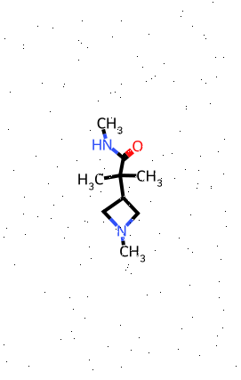 CNC(=O)C(C)(C)C1CN(C)C1